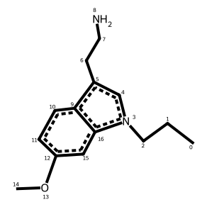 CCCn1cc(CCN)c2ccc(OC)cc21